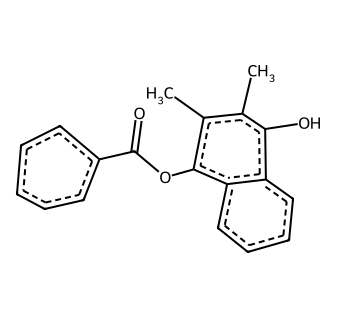 Cc1c(C)c(OC(=O)c2ccccc2)c2ccccc2c1O